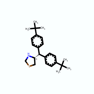 CC(C)(C)c1ccc(C(c2ccc(C(C)(C)C)cc2)[C@@H]2CSCN2)cc1